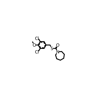 COc1c(Cl)cc(CSC(=O)N2CCCCCC2)cc1Cl